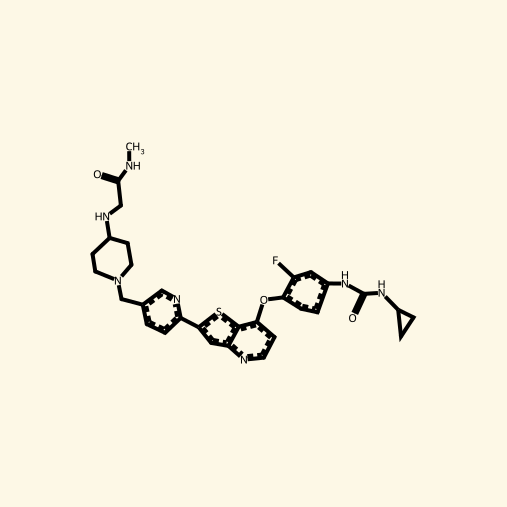 CNC(=O)CNC1CCN(Cc2ccc(-c3cc4nccc(Oc5ccc(NC(=O)NC6CC6)cc5F)c4s3)nc2)CC1